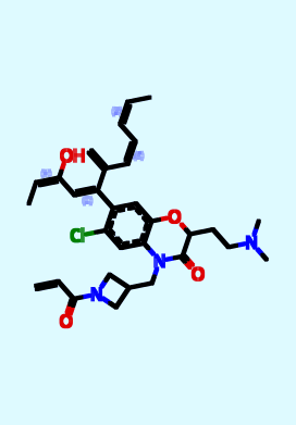 C=CC(=O)N1CC(CN2C(=O)C(CCN(C)C)Oc3cc(/C(=C/C(O)=C\C)C(=C)/C=C\C=C/C)c(Cl)cc32)C1